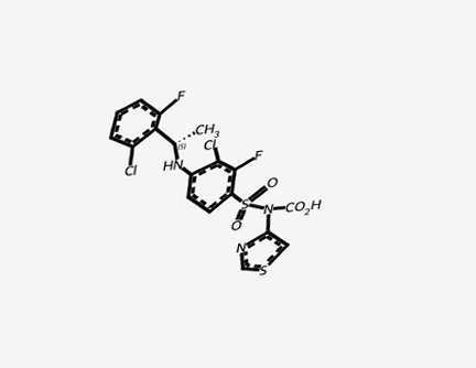 C[C@H](Nc1ccc(S(=O)(=O)N(C(=O)O)c2cscn2)c(F)c1Cl)c1c(F)cccc1Cl